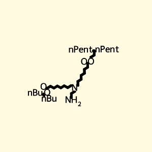 CCCCCC(CCCCC)CCOC(=O)CCCCCCCN(CCCN)CCCCCCCC(=O)OC(CCCC)CCCC